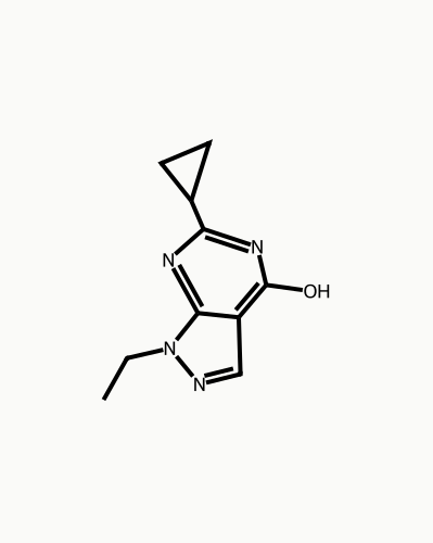 CCn1ncc2c(O)nc(C3CC3)nc21